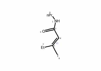 CCCNC(=O)/C=C(/I)CC